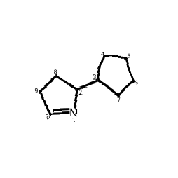 [C]1=NC(C2CCCC2)CC1